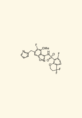 COc1c(F)c(Cn2cccn2)cc2onc(NS(=O)(=O)c3c(F)ccc4c3OCCC4(F)F)c12